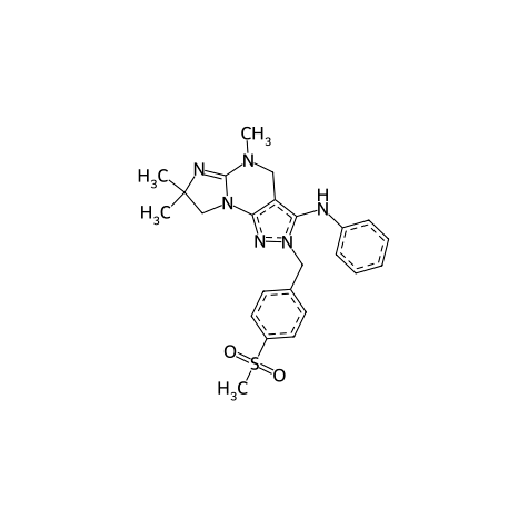 CN1Cc2c(nn(Cc3ccc(S(C)(=O)=O)cc3)c2Nc2ccccc2)N2CC(C)(C)N=C12